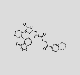 O=C(CCC(=O)c1ccc2ccccc2c1)NC[C@H]1CN(c2ccccc2-c2cccc3nnn(F)c23)C(=O)O1